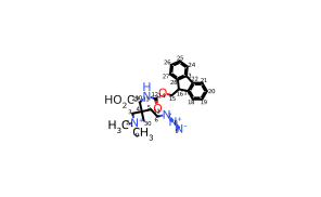 C[N+]1(C)CC(CCN=[N+]=[N-])([C@@H](NC(=O)OCC2c3ccccc3-c3ccccc32)C(=O)O)C1